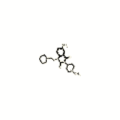 CN1CCC(n2c(=O)c3cc(N)ccc3n(CCN3CCCCC3)c2=O)CC1